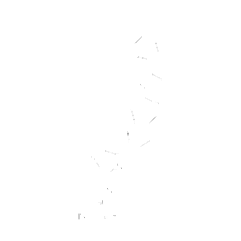 O=C(Nc1cc2cc(-c3cncc(N[C@H]4CCNC[C@@H]4F)n3)ccc2cn1)c1ccc(F)cc1